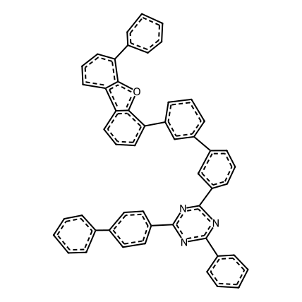 c1ccc(-c2ccc(-c3nc(-c4ccccc4)nc(-c4cccc(-c5cccc(-c6cccc7c6oc6c(-c8ccccc8)cccc67)c5)c4)n3)cc2)cc1